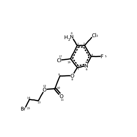 Nc1c(Cl)c(F)nc(OCC(=O)OCCBr)c1Cl